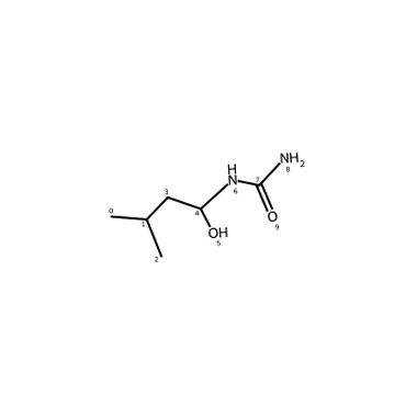 CC(C)CC(O)NC(N)=O